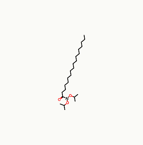 CCCCCCCCCCCCCCCCC[C](=O)[Al]([O]C(C)C)[O]C(C)C